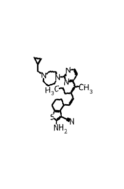 CCCC(/C=C\C1CCCc2sc(N)c(C#N)c21)=C(/C)c1ccnc(N2CCCN(CC3CC3)CC2)n1